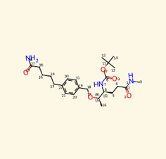 CNC(=O)CC[C@H](NC(=O)OC(C)(C)C)[C@@H](C)OCc1ccc(CCCCC(N)=O)cc1